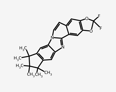 CC1(C)c2cc3nc4c5cc6c(cc5ccn4c3cc2C(C)(C)C1(C)C)OC(F)(F)O6